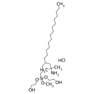 CCCCCCCCCCCCCCCC(CCC[Si](OC)(OCCO)OCCO)CC(C)(C)N.Cl